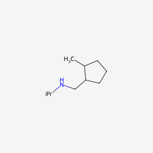 CC(C)NCC1CCCC1C